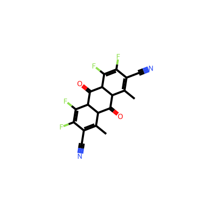 CC1=C(C#N)C(F)=C(F)C2C(=O)C3C(F)=C(F)C(C#N)=C(C)C3C(=O)C12